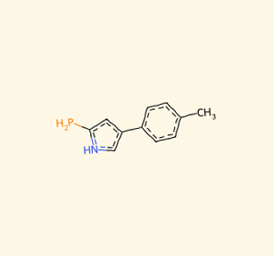 Cc1ccc(-c2c[nH]c(P)c2)cc1